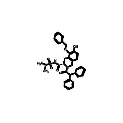 CN(C)S(=O)(=O)NC(=O)[C@@H]1Cc2c(ccc(O)c2OCc2ccccc2)CN1C(=O)C(c1ccccc1)c1ccccc1